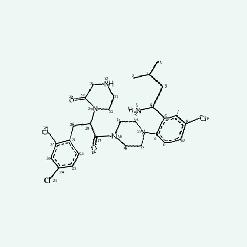 CC(C)CC(N)c1cc(Cl)ccc1N1CCN(C(=O)C(Cc2ccc(Cl)cc2Cl)N2CCNCC2=O)CC1